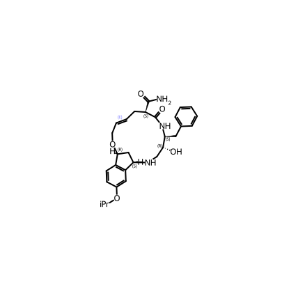 CC(C)Oc1ccc2c(c1)[C@@H]1C[C@H]2OC/C=C/C[C@@H](C(N)=O)C(=O)N[C@@H](Cc2ccccc2)[C@H](O)CN1